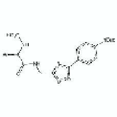 CCCCCCCCCCc1ccc(-c2noc(CNC(=O)C(NC(=O)O)C(C)C)n2)cc1